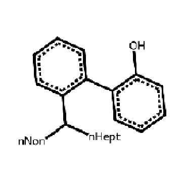 CCCCCCCCCC(CCCCCCC)c1ccccc1-c1ccccc1O